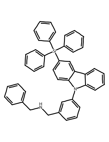 c1ccc(CNCc2cccc(-n3c4ccccc4c4cc([Si](c5ccccc5)(c5ccccc5)c5ccccc5)ccc43)c2)cc1